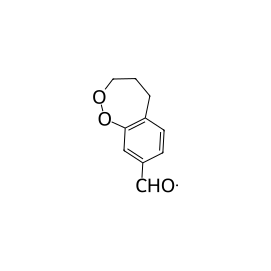 O=[C]c1ccc2c(c1)OOCCC2